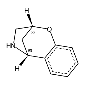 c1ccc2c(c1)O[C@H]1CN[C@@H]2C1